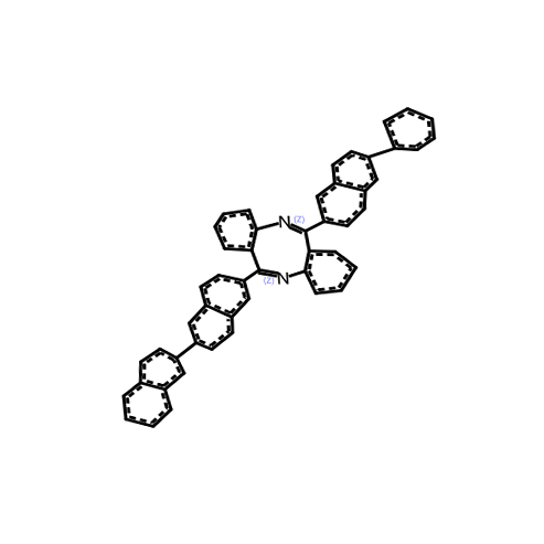 c1ccc(-c2ccc3cc(/C4=N/c5ccccc5/C(c5ccc6cc(-c7ccc8ccccc8c7)ccc6c5)=N\c5ccccc54)ccc3c2)cc1